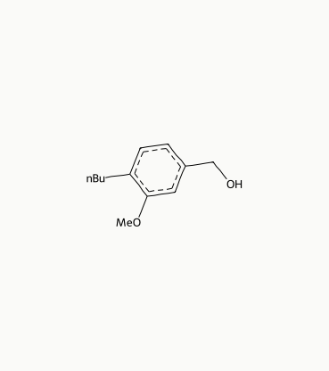 CCCCc1ccc(CO)cc1OC